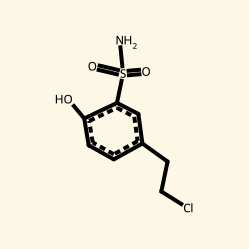 NS(=O)(=O)c1cc(CCCl)ccc1O